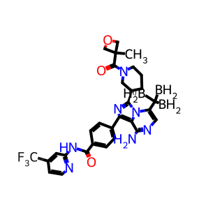 BC(B)(B)c1cnc(N)c2c(-c3ccc(C(=O)Nc4cc(C(F)(F)F)ccn4)cc3)nc([C@@H]3CCCN(C(=O)C4(C)COC4)C3)n12